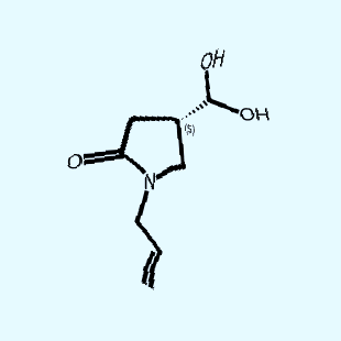 C=CCN1C[C@@H](C(O)O)CC1=O